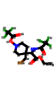 CCOC(=O)C(NC(=O)C(F)(F)F)C1(CS)CCN(OC(=O)C(F)(F)F)CC1